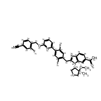 CO[C@@]1(C)COC[C@@H]1n1c(Cc2cc(F)c(-c3cccc(OCc4ccc(C#N)cc4F)n3)cc2F)nc2ccc(C(=O)O)cc21